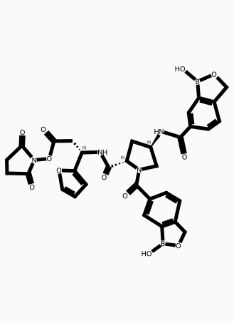 O=C(C[C@H](NC(=O)[C@@H]1C[C@@H](NC(=O)c2ccc3c(c2)B(O)OC3)CN1C(=O)c1ccc2c(c1)B(O)OC2)c1ccco1)ON1C(=O)CCC1=O